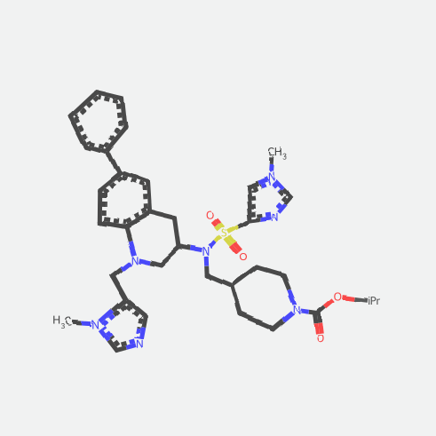 CC(C)OC(=O)N1CCC(CN(C2Cc3cc(-c4ccccc4)ccc3N(Cc3cncn3C)C2)S(=O)(=O)c2cn(C)cn2)CC1